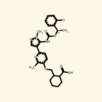 Cc1nc(-c2cnn(C)c2NC(=O)O[C@H](C)c2ccccc2Cl)ccc1OCC1CCCCC1C(=O)O